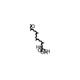 CC(=O)CC(C)=CCCC(C)=CCCC(C)=CCCC(C)=CCN[C@@H](CS)C(=O)O